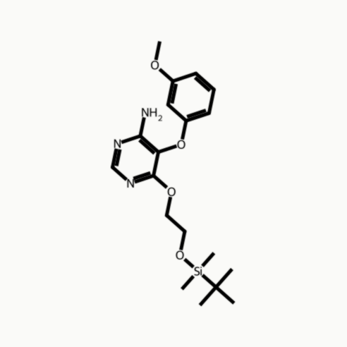 COc1cccc(Oc2c(N)ncnc2OCCO[Si](C)(C)C(C)(C)C)c1